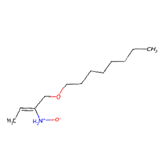 CC=C(COCCCCCCCC)[NH2+][O-]